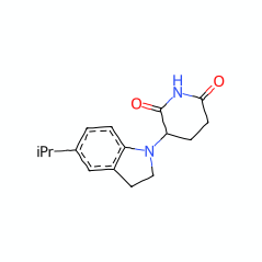 CC(C)c1ccc2c(c1)CCN2C1CCC(=O)NC1=O